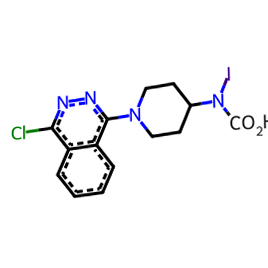 O=C(O)N(I)C1CCN(c2nnc(Cl)c3ccccc23)CC1